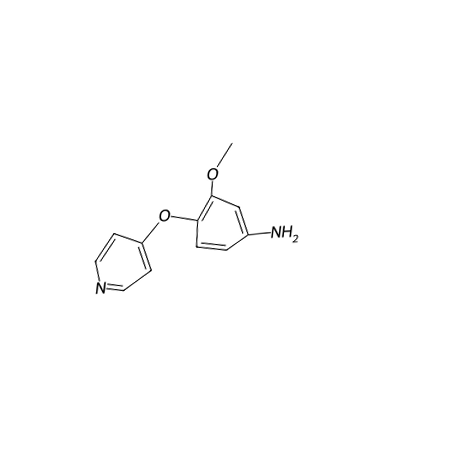 COc1cc(N)ccc1Oc1ccncc1